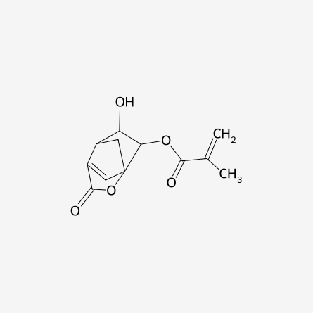 C=C(C)C(=O)OC1C(O)C2CC13C=C2C(=O)O3